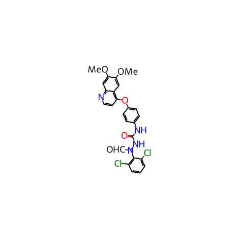 COc1cc2nccc(Oc3ccc(NC(=O)NN(C=O)c4c(Cl)cccc4Cl)cc3)c2cc1OC